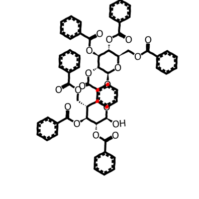 O=C(OC[C@H]1[C@H](OC(=O)c2ccccc2)[C@@H](OC(=O)c2ccccc2)[C@H](O)O[C@H]1CO[C@@H]1O[C@H](COC(=O)c2ccccc2)[C@@H](OC(=O)c2ccccc2)[C@H](OC(=O)c2ccccc2)[C@H]1OC(=O)c1ccccc1)c1ccccc1